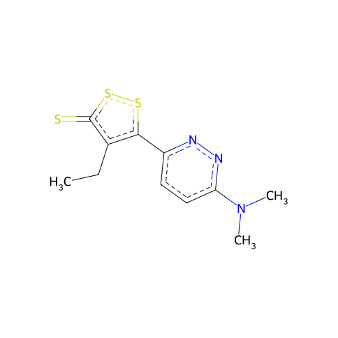 CCc1c(-c2ccc(N(C)C)nn2)ssc1=S